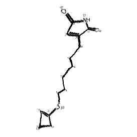 O=C1C=C(CCCCCCSC2=CCC2)C(=O)N1